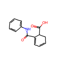 O=C(Nc1ccccc1)C1=CC=CCC1C(=O)O